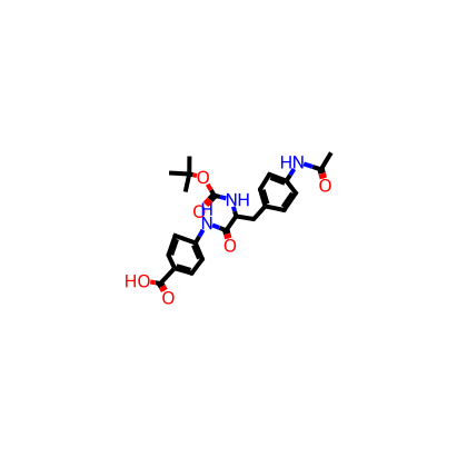 CC(=O)Nc1ccc(CC(NC(=O)OC(C)(C)C)C(=O)Nc2ccc(C(=O)O)cc2)cc1